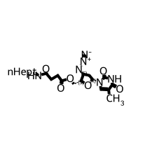 CCCCCCCNC(=O)CCC(=O)OC[C@H]1O[C@@H](n2cc(C)c(=O)[nH]c2=O)C[C@@H]1N=[N+]=[N-]